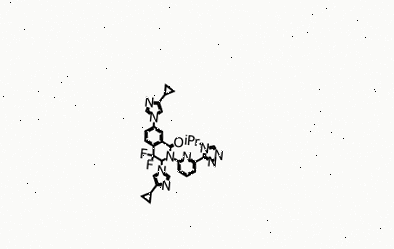 CC(C)n1cnnc1-c1cccc(N2C(=O)c3cc(-n4cnc(C5CC5)c4)ccc3C(F)(F)C2n2cnc(C3CC3)c2)n1